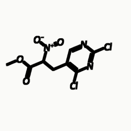 COC(=O)C(Cc1cnc(Cl)nc1Cl)[N+](=O)[O-]